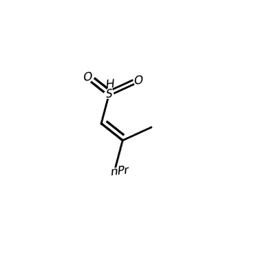 CCCC(C)=C[SH](=O)=O